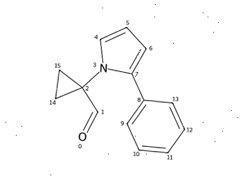 O=CC1(n2cccc2-c2ccccc2)CC1